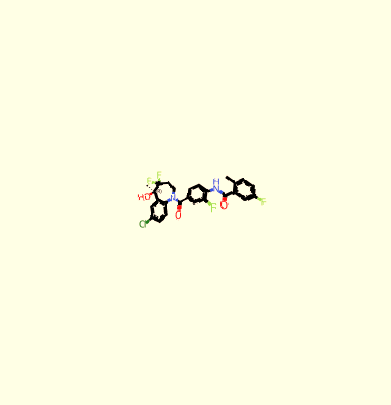 Cc1ccc(F)cc1C(=O)Nc1ccc(C(=O)N2CCC(F)(F)[C@](C)(O)c3cc(Cl)ccc32)cc1F